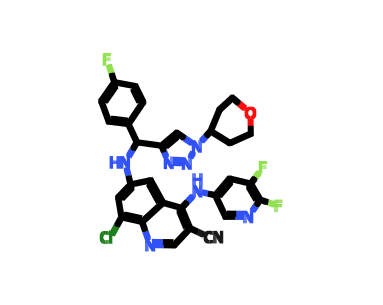 N#Cc1cnc2c(Cl)cc(NC(c3ccc(F)cc3)c3cn(C4CCOCC4)nn3)cc2c1Nc1cnc(F)c(F)c1